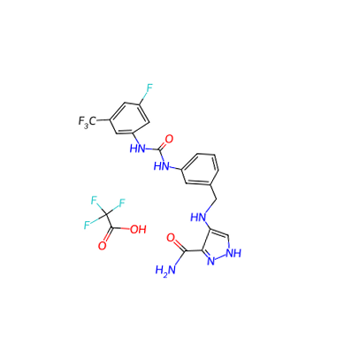 NC(=O)c1n[nH]cc1NCc1cccc(NC(=O)Nc2cc(F)cc(C(F)(F)F)c2)c1.O=C(O)C(F)(F)F